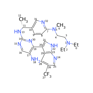 CCN(CC)CCN(C)c1ccc([C@@H](C)Nc2ncc(N)c(-c3c[nH]c4ncc(C(F)(F)F)cc34)n2)cn1